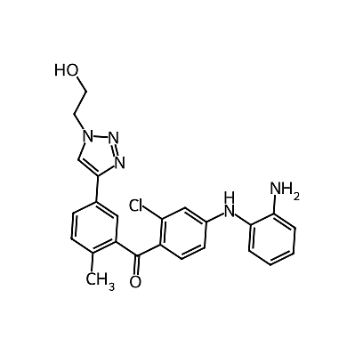 Cc1ccc(-c2cn(CCO)nn2)cc1C(=O)c1ccc(Nc2ccccc2N)cc1Cl